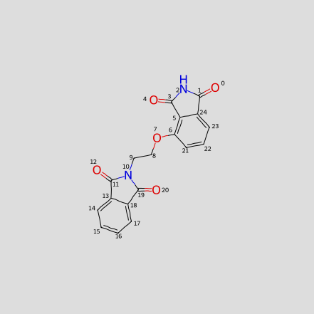 O=C1NC(=O)c2c(OCCN3C(=O)c4ccccc4C3=O)cccc21